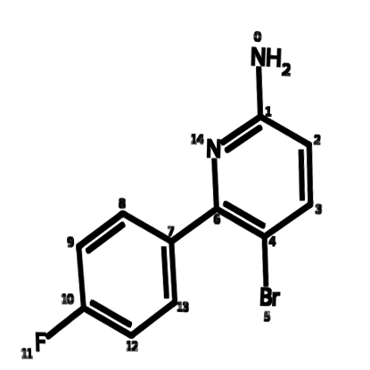 Nc1ccc(Br)c(-c2ccc(F)cc2)n1